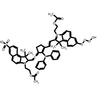 CC(=O)OCCN1c2ccc3cc(S(=O)(=O)O)ccc3c2C(C)(C)C1C=C=C1CCC(/C=C/C2=[N+](CCOC(C)=O)c3ccc4cc(SOOO)ccc4c3C2(C)C)=C1N(c1ccccc1)c1ccccc1